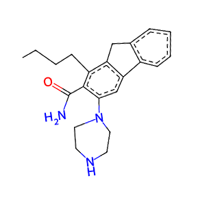 CCCCc1c2c(cc(N3CCNCC3)c1C(N)=O)-c1ccccc1C2